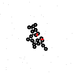 c1ccc(-c2ccc(-c3c4ccccc4cc4c5ccccc5n(-c5ccc(N(c6ccccc6)c6ccc(-c7ccccc7-c7ccc8c(c7)c7cc9ccccc9c(-c9ccc(N(c%10ccccc%10)c%10ccc(-c%11ccccc%11)cc%10)cc9)c7n8-c7ccc(-c8ccccc8)cc7)cc6)cc5)c34)cc2)cc1